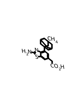 C.Nc1nc2c(C34CC5CC(CC(C5)C3)C4)cc(CC(=O)O)cc2s1